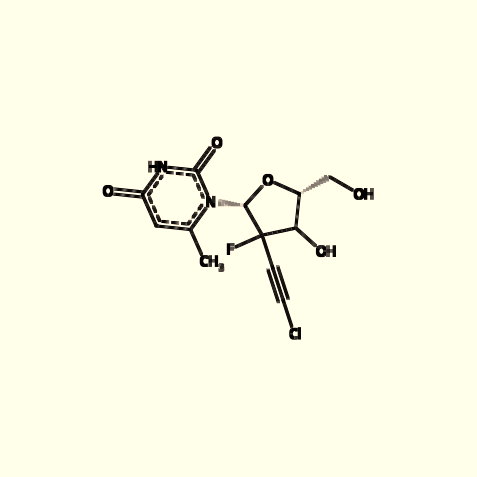 Cc1cc(=O)[nH]c(=O)n1[C@@H]1O[C@H](CO)C(O)C1(F)C#CCl